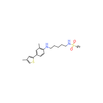 Cc1csc(-c2ccc(NCCCCCNS(=O)(=O)C(C)C)c(C)c2)c1